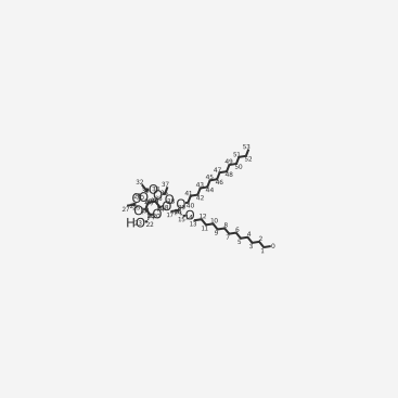 CCCCCCCCCCCCCCOC[C@H](CO[C@H]1O[C@H](CO)[C@H](OC(C)=O)[C@H](OC(C)=O)[C@H]1OC(C)=O)OCCCCCCCCCCCCCC